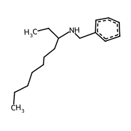 CCCCCCCC(CC)NCc1ccccc1